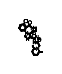 CC1CCCC(C)N1Cc1nc(-c2ncn3c2[C@@H]2CCN2C(=O)c2c(Cl)cccc2-3)no1